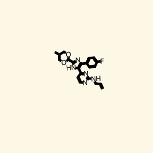 C=CCNc1nccc(-c2[nH]c(C3OCC(C)CO3)nc2-c2ccc(F)cc2)n1